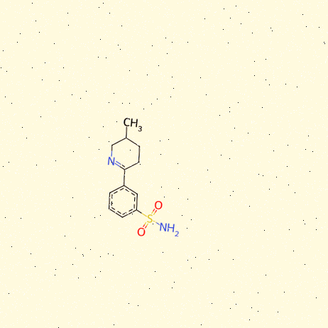 CC1CCC(c2cccc(S(N)(=O)=O)c2)=NC1